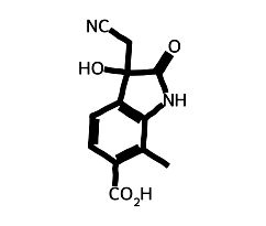 Cc1c(C(=O)O)ccc2c1NC(=O)C2(O)CC#N